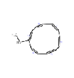 CNC1=C/C=C\C=C/C=C\C=C/C=C\1